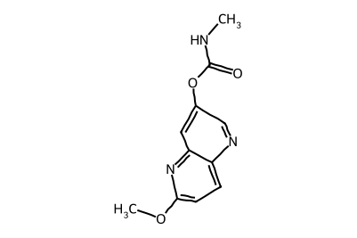 CNC(=O)Oc1cnc2ccc(OC)nc2c1